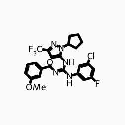 COc1cccc(C(=O)/N=C(/Nc2cc(F)cc(Cl)c2)Nc2cc(C(F)(F)F)nn2C2CCCC2)c1